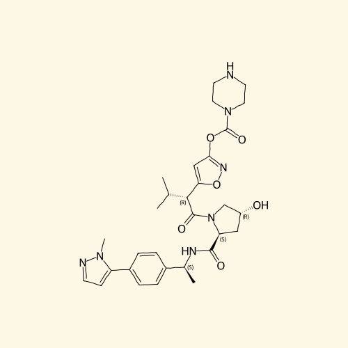 CC(C)[C@@H](C(=O)N1C[C@H](O)C[C@H]1C(=O)N[C@@H](C)c1ccc(-c2ccnn2C)cc1)c1cc(OC(=O)N2CCNCC2)no1